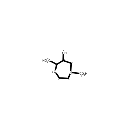 O=C(O)C1OCCN(C(=O)O)CC1O